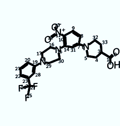 O=C(O)C1CCN(c2ccc([N+](=O)[O-])c(N3CCN(c4cccc(C(F)(F)F)c4)CC3)c2)CC1